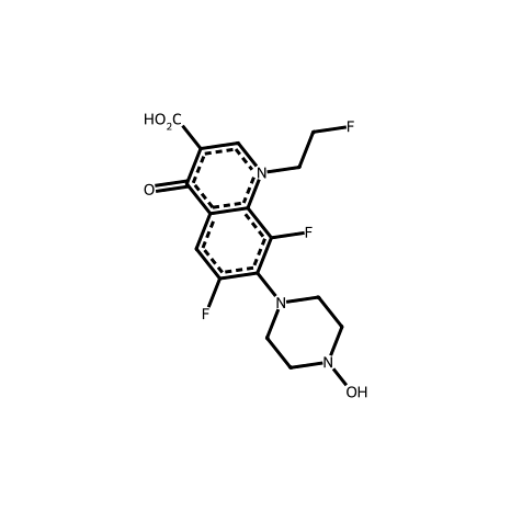 O=C(O)c1cn(CCF)c2c(F)c(N3CCN(O)CC3)c(F)cc2c1=O